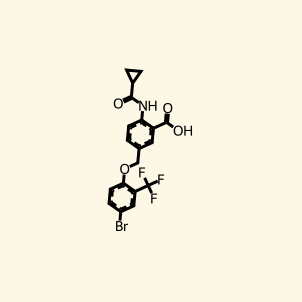 O=C(O)c1cc(COc2ccc(Br)cc2C(F)(F)F)ccc1NC(=O)C1CC1